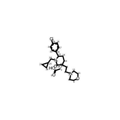 O=C(O)C[C@@]1(CCN2CCOCC2)CCC(c2ccc(Cl)cc2)N(CC2CC2)C1=O